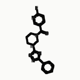 O=C(c1ccc(F)nc1)N1CCC[C@H](c2nc(-c3ccccc3)no2)C1